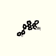 C#Cc1c2c(cc(-c3c4ccccc4c(-c4cccc(-c5ccc6oc7ccccc7c6c5)c4)c4ccccc34)c1/C=C\C)C=CCC#C2